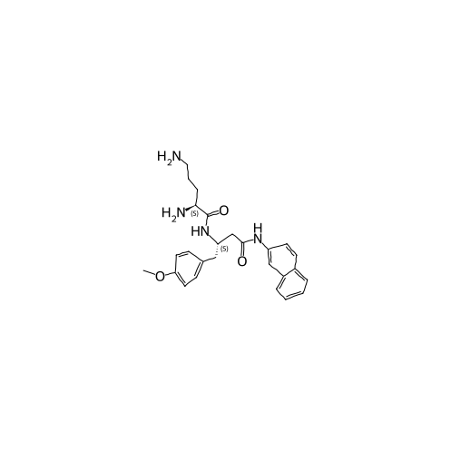 COc1ccc(C[C@@H](CC(=O)Nc2ccc3ccccc3c2)NC(=O)[C@@H](N)CCCN)cc1